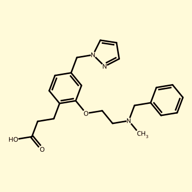 CN(CCOc1cc(Cn2cccn2)ccc1CCC(=O)O)Cc1ccccc1